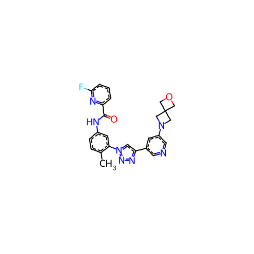 Cc1ccc(NC(=O)c2cccc(F)n2)cc1-n1cc(-c2cncc(N3CC4(COC4)C3)c2)nn1